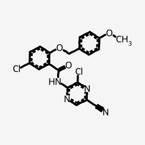 COc1ccc(COc2ccc(Cl)cc2C(=O)Nc2ncc(C#N)nc2Cl)cc1